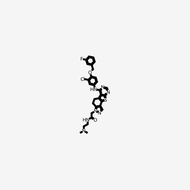 CN(C)CCNC(=O)Cn1ncc2c1CCc1c-2sc2ncnc(Nc3ccc(OCc4cccc(F)c4)c(Cl)c3)c12